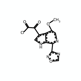 COc1cnc(-c2ncon2)c2[nH]cc(C(=O)C(=O)Cl)c12